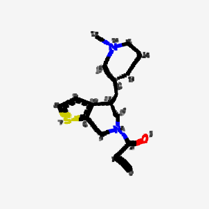 C=CC(=O)N1Cc2sccc2[C@@H]([C@H]2CCCN(C)C2)C1